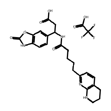 O=C(O)C(F)(F)F.O=C(O)CC(NC(=O)CCCCc1ccc2c(n1)NCCC2)c1ccc2[nH]c(=O)oc2c1